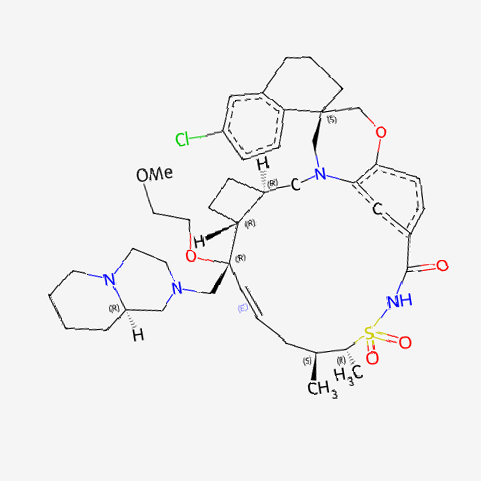 COCCO[C@@]1(CN2CCN3CCCC[C@@H]3C2)/C=C/C[C@H](C)[C@@H](C)S(=O)(=O)NC(=O)c2ccc3c(c2)N(C[C@@H]2CC[C@H]21)C[C@@]1(CCCc2cc(Cl)ccc21)CO3